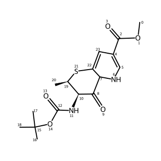 COC(=O)C1=CNC2C(=O)[C@@H](NC(=O)OC(C)(C)C)[C@@H](C)SC2=C1